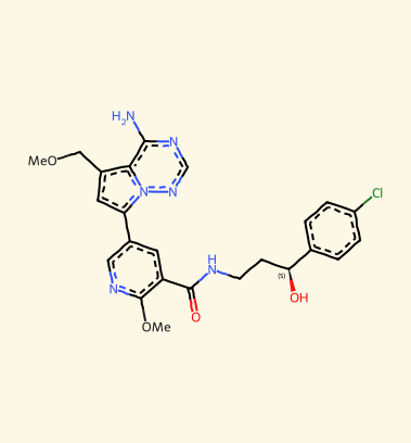 COCc1cc(-c2cnc(OC)c(C(=O)NCC[C@H](O)c3ccc(Cl)cc3)c2)n2ncnc(N)c12